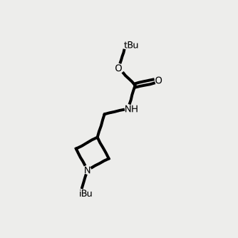 CCC(C)N1CC(CNC(=O)OC(C)(C)C)C1